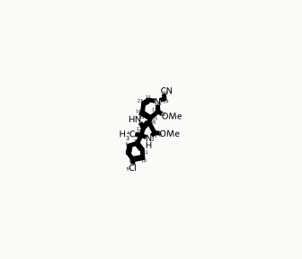 COC1NC(C)(c2ccc(Cl)cc2)c2[nH]c3c(c21)C(OC)N(CC#N)C=C3